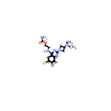 CN(C)C1CN(c2nc(NCCOC(N)=O)c3cc(Cl)c(Br)c(F)c3n2)C1